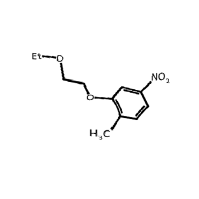 CCOCCOc1cc([N+](=O)[O-])ccc1C